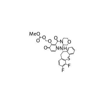 COC(=O)OCOc1c2n(ccc1=O)N([C@H]1Cc3ccc(F)c(F)c3Sc3ccccc31)[C@@H]1COCCN1C2=O